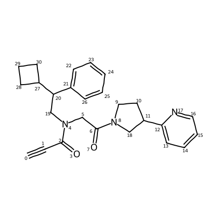 C#CC(=O)N(CC(=O)N1CCC(c2ccccn2)C1)CC(c1ccccc1)C1CCC1